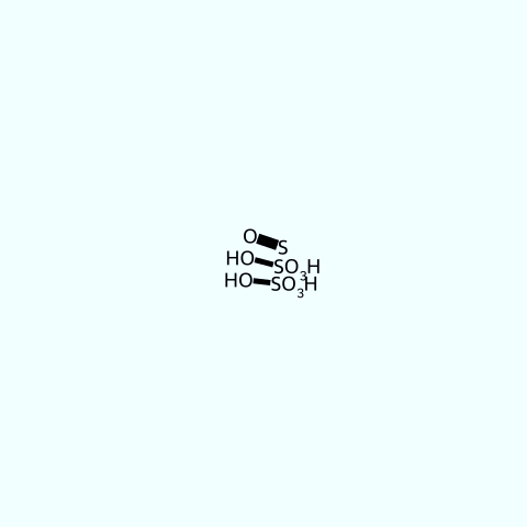 O=S.O=S(=O)(O)O.O=S(=O)(O)O